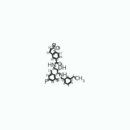 CCc1cccc(CNC[C@@H](O)[C@H](Cc2cc(F)cc(F)c2)NC(=O)c2ccc3c(c2)C=CS3(=O)=O)c1